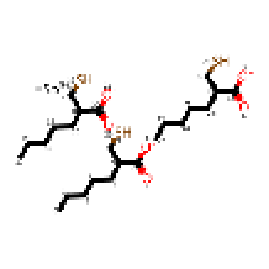 CCCCCC(CS)C(=O)[O-].CCCCCC(CS)C(=O)[O-].CCCCCC(CS)C(=O)[O-].[Sb+3]